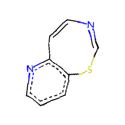 C1=Cc2ncccc2SC=N1